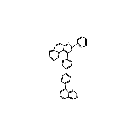 c1ccc(-c2cc(-c3ccc(-c4ccc(-c5cccc6cccnc56)cc4)cc3)c3c(ccc4ccccc43)n2)cc1